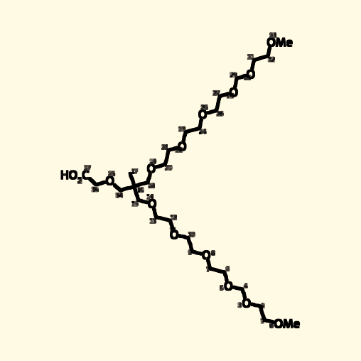 COCCOCOCCOCCOCCOCC(C)(COCCOCCOCCOCOCCOC)COCC(=O)O